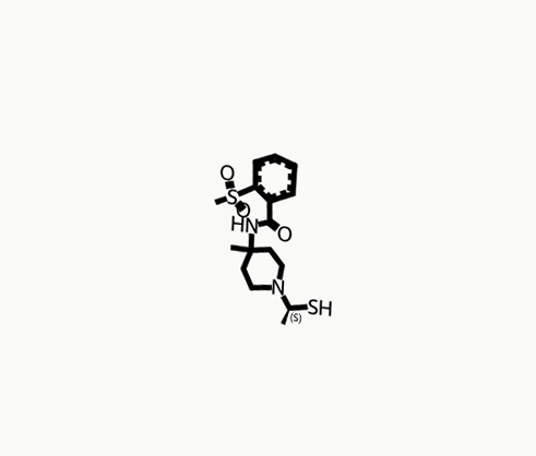 C[C@H](S)N1CCC(C)(NC(=O)c2ccccc2S(C)(=O)=O)CC1